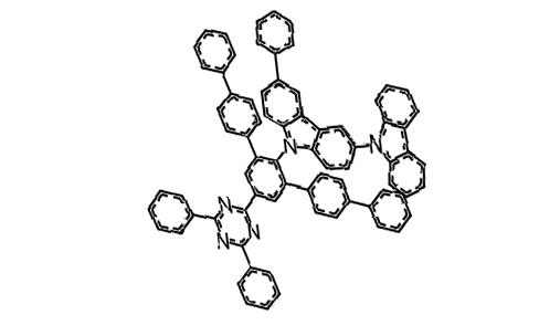 c1ccc(-c2ccc(-c3cc(-c4nc(-c5ccccc5)nc(-c5ccccc5)n4)cc(-c4ccc(-c5ccccc5)cc4)c3-n3c4ccc(-c5ccccc5)cc4c4cc(-n5c6ccccc6c6ccccc65)ccc43)cc2)cc1